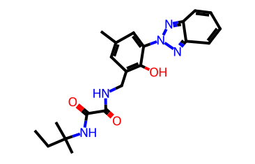 CCC(C)(C)NC(=O)C(=O)NCc1cc(C)cc(-n2nc3ccccc3n2)c1O